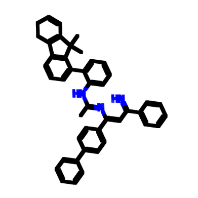 C/C(=N\C(=C/C(=N)c1ccccc1)c1ccc(-c2ccccc2)cc1)Nc1ccccc1-c1cccc2c1C(C)(C)C1=C2CCC=C1